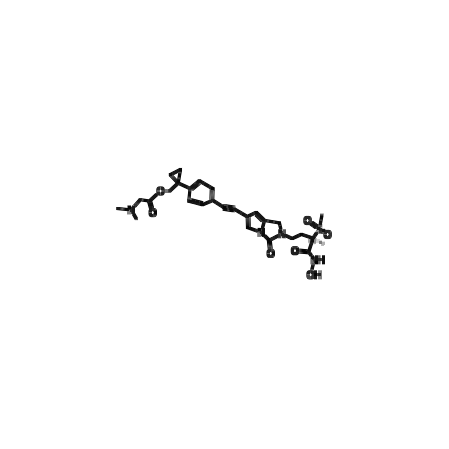 CN(C)CC(=O)OCC1(c2ccc(C#Cc3cc4n(c3)C(=O)N(CC[C@](C)(C(=O)NO)S(C)(=O)=O)C4)cc2)CC1